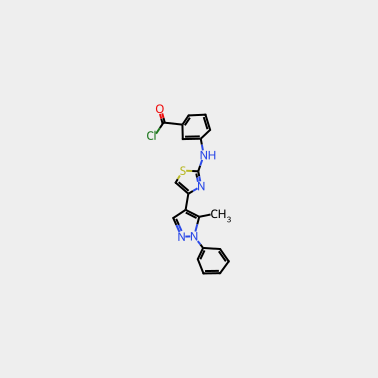 Cc1c(-c2csc(Nc3cccc(C(=O)Cl)c3)n2)cnn1-c1ccccc1